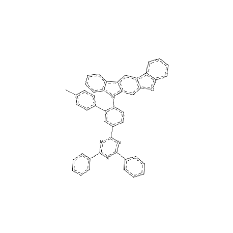 Cc1ccc(-c2cc(-c3nc(-c4ccccc4)nc(-c4ccccc4)n3)ccc2-n2c3ccccc3c3cc4c(cc32)oc2ccccc24)cc1